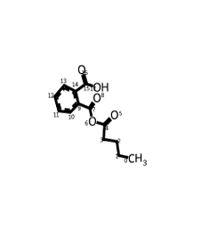 CCCCC(=O)OC(=O)c1ccccc1C(=O)O